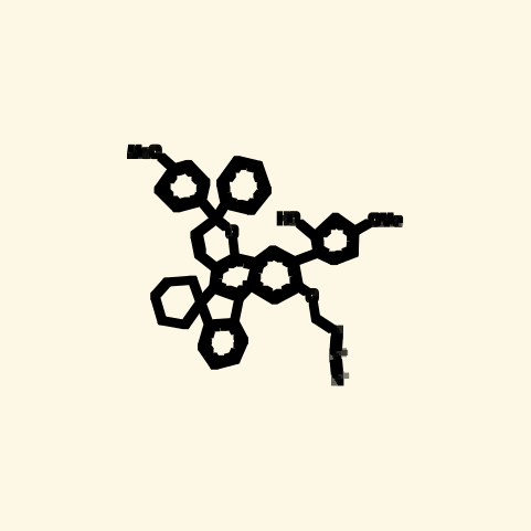 COc1ccc(C2(c3ccccc3)C=Cc3c4c(c5cc(OCN=[N+]=[N-])c(-c6ccc(OC)cc6O)cc5c3O2)-c2ccccc2C42CCCCC2)cc1